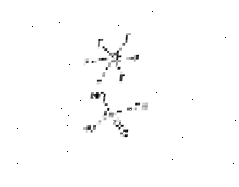 [F][Sb-]([F])([F])([F])([F])[F].[O]=[Sb]([OH])([OH])[OH]